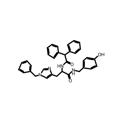 O=C(NCc1ccc(O)cc1)C(Cc1cn(Cc2ccccc2)cn1)NC(=O)C(c1ccccc1)c1ccccc1